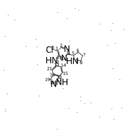 Clc1cnc([C@H]2CCCN2)nc1Nc1ccc2[nH]ncc2c1